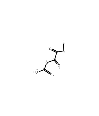 CC(=O)OC(=O)C(=O)CCl